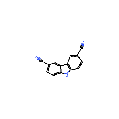 N#Cc1ccc2[nH]c3ccc(C#N)cc3c2c1